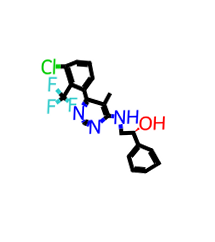 Cc1c(NC[C@H](O)c2ccccc2)ncnc1-c1cccc(Cl)c1C(F)(F)F